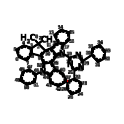 CC1(C)c2ccccc2-c2c1c1c3ccccc3n(-c3nc(-c4ccccc4)nc(-c4ccccc4)n3)c1c1c3ccccc3n(-c3ccccc3)c21